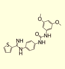 COc1cc(NC(=O)Nc2ccc(NC(=N)c3cccs3)cc2)cc(OC)c1